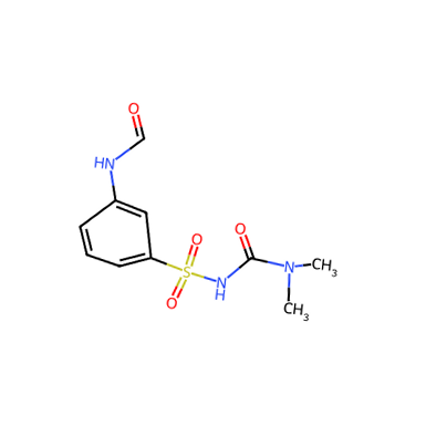 CN(C)C(=O)NS(=O)(=O)c1cccc(NC=O)c1